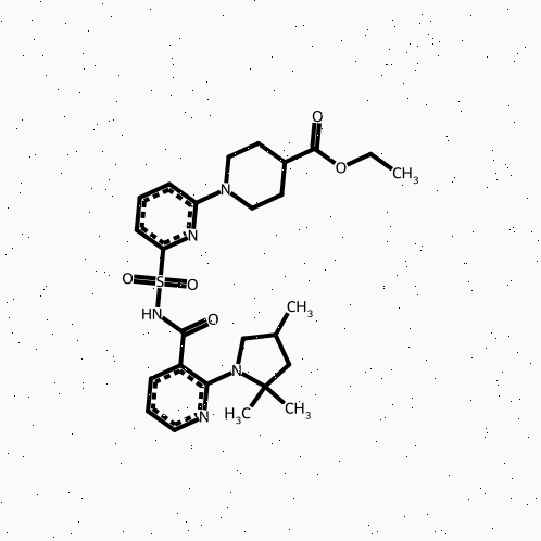 CCOC(=O)C1CCN(c2cccc(S(=O)(=O)NC(=O)c3cccnc3N3CC(C)CC3(C)C)n2)CC1